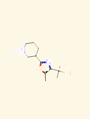 CC[C@](C)(O)c1nc(C2CC[C@@H](C)NC2)oc1C